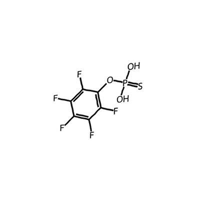 OP(O)(=S)Oc1c(F)c(F)c(F)c(F)c1F